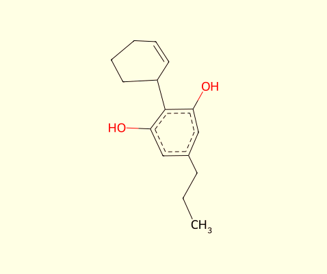 CCCc1cc(O)c(C2C=CCCC2)c(O)c1